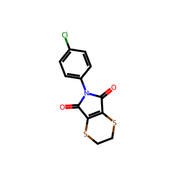 O=C1C2=C(SCCS2)C(=O)N1c1ccc(Cl)cc1